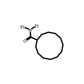 CCN(CC)C(=O)C1CCCCCCCCCCC1